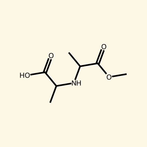 COC(=O)C(C)NC(C)C(=O)O